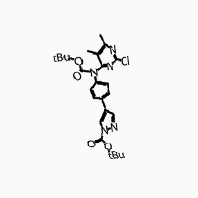 Cc1nc(Cl)nc(N(C(=O)OC(C)(C)C)c2ccc(-c3cnn(C(=O)OC(C)(C)C)c3)cc2)c1C